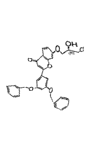 O=c1cc(-c2cc(OCc3ccccc3)cc(OCc3ccccc3)c2)oc2cc(OC[C@@H](O)CCl)ccc12